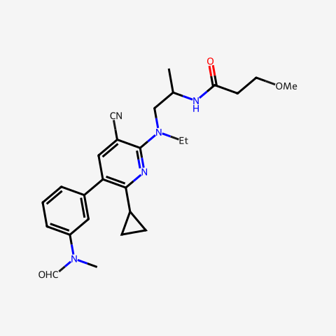 CCN(CC(C)NC(=O)CCOC)c1nc(C2CC2)c(-c2cccc(N(C)C=O)c2)cc1C#N